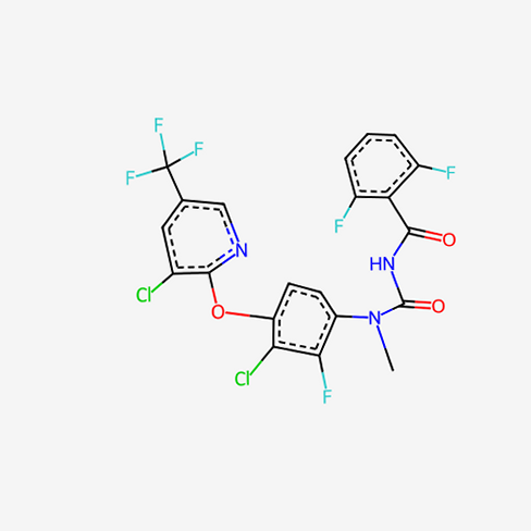 CN(C(=O)NC(=O)c1c(F)cccc1F)c1ccc(Oc2ncc(C(F)(F)F)cc2Cl)c(Cl)c1F